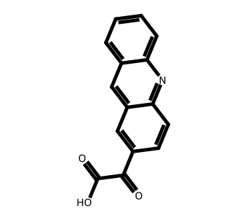 O=C(O)C(=O)c1ccc2nc3ccccc3cc2c1